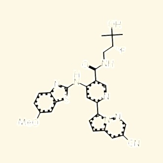 COc1ccc2nc(Nc3cc(-c4ccc5cc(C#N)cnn45)ncc3C(=O)NC[C@@H](F)C(C)(C)O)sc2c1